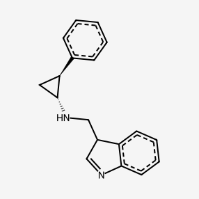 C1=Nc2ccccc2C1CN[C@@H]1C[C@H]1c1ccccc1